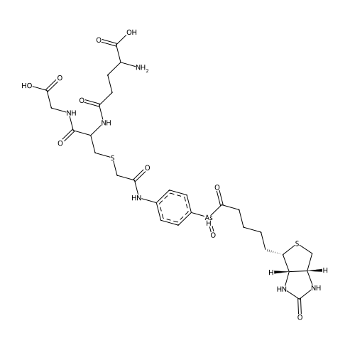 NC(CCC(=O)NC(CSCC(=O)Nc1ccc([AsH](=O)C(=O)CCCC[C@@H]2SC[C@@H]3NC(=O)N[C@@H]32)cc1)C(=O)NCC(=O)O)C(=O)O